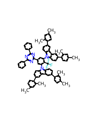 Cc1ccc(-c2ccc3c(c2)c2cc(-c4ccc(C)cc4C)ccc2n3-c2cc(-c3nc(-c4ccccc4)nc(-c4ccccc4)n3)cc(-n3c4ccc(-c5ccc(C)cc5C)cc4c4cc(-c5ccc(C)cc5C)ccc43)c2C(F)(F)F)c(C)c1